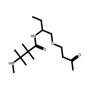 CCC(COCCC(C)=O)NC(=O)C(C)(C)C(C)(C)NC